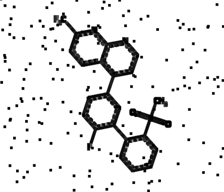 CS(=O)(=O)c1ccccc1-c1cc(-c2ccnc3nc(C(F)(F)F)ccc23)ccc1F